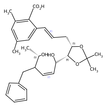 Cc1cc(C)c(C(=O)O)c(/C=C/C[C@@H]2OC(C)(C)O[C@@H]2C(O)/C=C\C(Cc2ccccc2)[C@H](C)O)c1